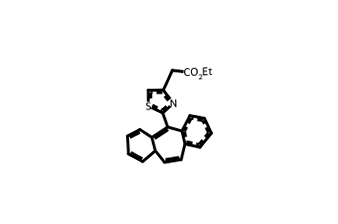 CCOC(=O)Cc1csc(C2=C3C=CC=CC3C=Cc3ccccc32)n1